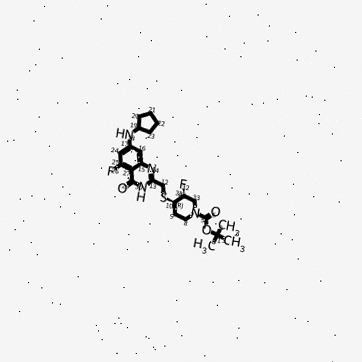 CC(C)(C)OC(=O)N1CC[C@@H](SCc2nc3cc(NC4CCCC4)cc(F)c3c(=O)[nH]2)[C@H](F)C1